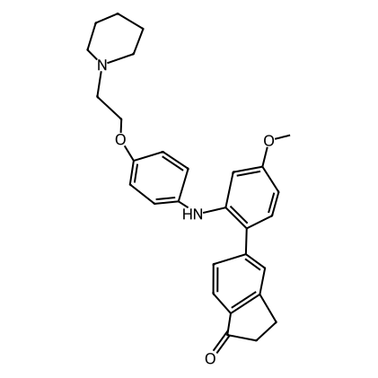 COc1ccc(-c2ccc3c(c2)CCC3=O)c(Nc2ccc(OCCN3CCCCC3)cc2)c1